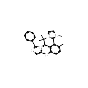 Cc1ccc2nc3cnc(-c4ccccc4)n3c3c2c1-c1n(cc[n+]1C)C3(C)C